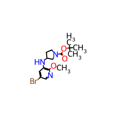 COc1ncc(Br)cc1NC1CCN(C(=O)OC(C)(C)C)C1